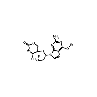 CCOc1nc(N)nc2c1ncn2[C@@H](CF)O[C@]1(F)CO[PH](=O)O[C@H]1C